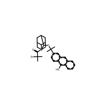 CCC(C)(C)C(=O)OC1C2CC3CC1CC(C2)C3OC(C)(C)c1ccc2c(S)c3ccccc3cc2c1